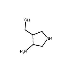 NC1CNCC1CO